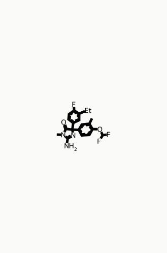 CCc1cc(C2(c3ccc(OC(F)F)c(C)c3)N=C(N)N(C)C2=O)ccc1F